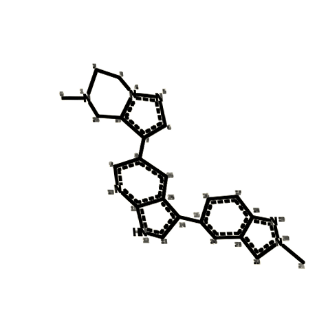 CN1CCn2ncc(-c3cnc4[nH]cc(-c5ccc6nn(C)cc6c5)c4c3)c2C1